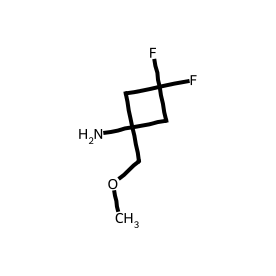 COCC1(N)CC(F)(F)C1